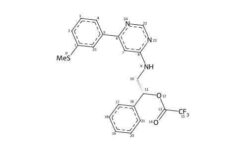 CSc1cccc(-c2cc(NC[C@H](OC(=O)C(F)(F)F)c3ccccc3)ncn2)c1